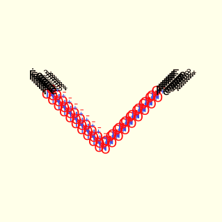 O=[N+]([O-])[O-].O=[N+]([O-])[O-].O=[N+]([O-])[O-].O=[N+]([O-])[O-].O=[N+]([O-])[O-].O=[N+]([O-])[O-].O=[N+]([O-])[O-].O=[N+]([O-])[O-].O=[N+]([O-])[O-].O=[N+]([O-])[O-].O=[N+]([O-])[O-].O=[N+]([O-])[O-].O=[N+]([O-])[O-].O=[N+]([O-])[O-].O=[N+]([O-])[O-].O=[N+]([O-])[O-].O=[N+]([O-])[O-].O=[N+]([O-])[O-].[Fe+3].[Fe+3].[Fe+3].[Fe+3].[Fe+3].[Fe+3].[Fe+3].[Fe+3].[Fe+3].[Fe+3].[Fe+3].[Fe+3].[Fe+3].[Fe+3].[Fe+3].[Fe+3].[Fe+3].[Fe+3].[Fe+3]